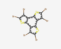 Brc1sc2c(c1Br)c1sc(Br)c(Br)c1c1sc(Br)c(Br)c21